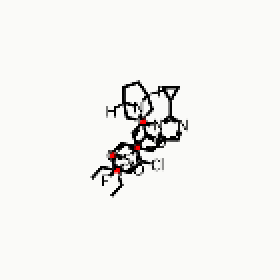 CCN(CC)S(=O)(=O)c1cc(N2[C@@H]3CC[C@H]2CN(C(=O)c2ccc(F)cc2Cl)C3)n2c(C3CC3)ncc2c1